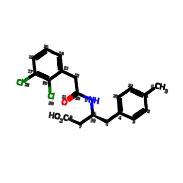 Cc1ccc(C[C@@H](CC(=O)O)NC(=O)Cc2cccc(Cl)c2Cl)cc1